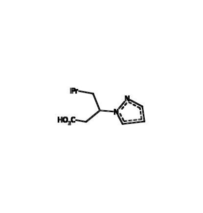 CC(C)CC(CC(=O)O)n1cccn1